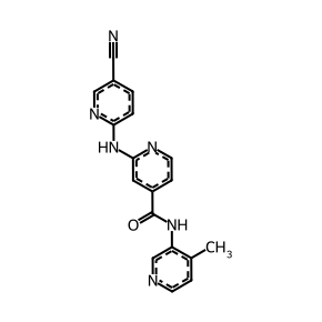 Cc1ccncc1NC(=O)c1ccnc(Nc2ccc(C#N)cn2)c1